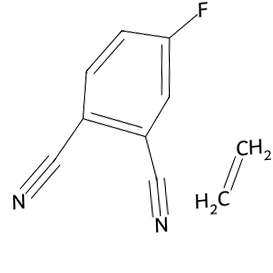 C=C.N#Cc1ccc(F)cc1C#N